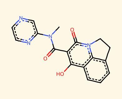 CN(C(=O)c1c(O)c2cccc3c2n(c1=O)CC3)c1cnccn1